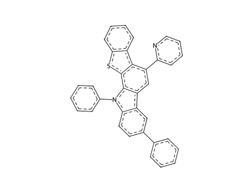 c1ccc(-c2ccc3c(c2)c2cc(-c4ccccn4)c4c5ccccc5sc4c2n3-c2ccccc2)cc1